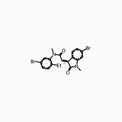 CCc1ccc(Br)cc1N(C)C(=O)/C=C1/C(=O)N(C)c2cc(Br)ccc21